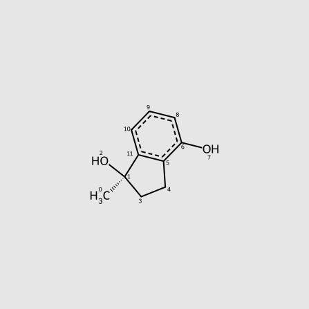 C[C@@]1(O)CCc2c(O)cccc21